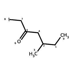 CCC(C)CC(=O)CI